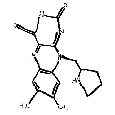 Cc1cc2nc3c(=O)[nH]c(=O)nc-3n(CC3CCCN3)c2cc1C